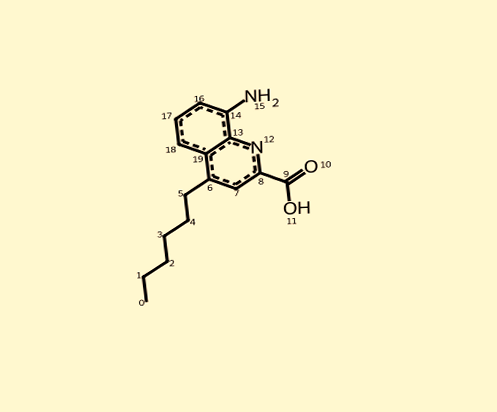 CCCCCCc1cc(C(=O)O)nc2c(N)cccc12